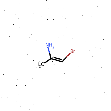 CC(N)=CBr